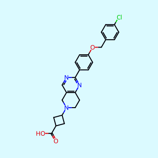 O=C(O)C1CC(N2CCc3nc(-c4ccc(OCc5ccc(Cl)cc5)cc4)ncc3C2)C1